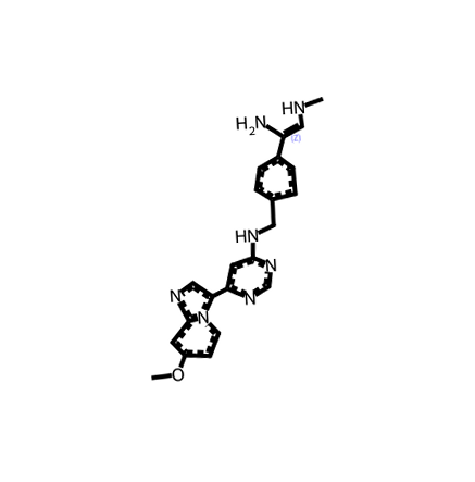 CN/C=C(\N)c1ccc(CNc2cc(-c3cnc4cc(OC)ccn34)ncn2)cc1